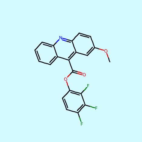 COc1ccc2nc3ccccc3c(C(=O)Oc3ccc(F)c(F)c3F)c2c1